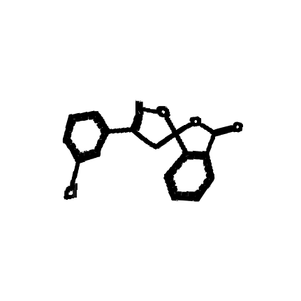 O=C1OC2(CC(c3cccc(Cl)c3)=NO2)c2ccccc21